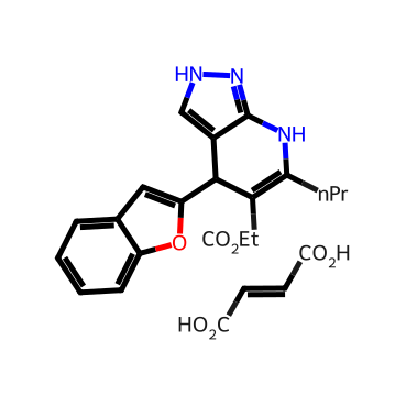 CCCC1=C(C(=O)OCC)C(c2cc3ccccc3o2)c2c[nH]nc2N1.O=C(O)C=CC(=O)O